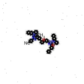 CC1(C)c2ccc(-c3cccc4c3oc3ccc(-c5nc(-n6c7ccccc7c7cc8ccccc8cc76)c6oc7ccc(-c8ccccc8)cc7c6n5)cc34)cc2-c2nc(-c3ccc(C#N)cc3)nc(-n3c4ccccc4c4cc5ccccc5cc43)c21